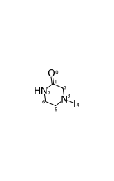 O=C1CN(I)CCN1